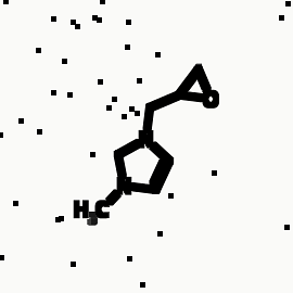 CN1C=CN(CC2CO2)C1